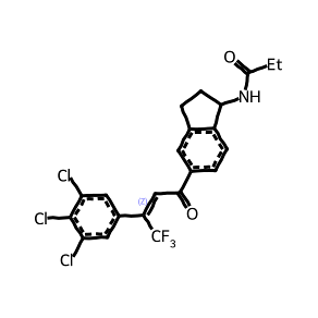 CCC(=O)NC1CCc2cc(C(=O)/C=C(/c3cc(Cl)c(Cl)c(Cl)c3)C(F)(F)F)ccc21